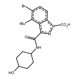 CC(C)(C)c1c(Br)ccc2c1c(C(=O)NC1CCC(O)CC1)nn2C(=O)O